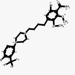 COc1c(CCCCN2CCN(c3ccc(N)c(C(F)(F)F)c3)CC2)cc(Br)c(C(N)=O)c1OC